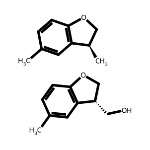 Cc1ccc2c(c1)[C@@H](CO)CO2.Cc1ccc2c(c1)[C@H](C)CO2